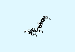 Cc1ccc(C(C)C)c(N2C(=O)CS/C2=N\C(=S)NC(C)C/C=C/c2cccc(-c3ncn(-c4ccc(OC(F)(F)F)cc4)n3)c2)c1